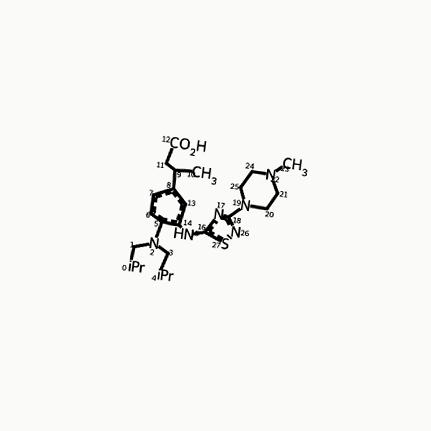 CC(C)CN(CC(C)C)c1ccc(C(C)CC(=O)O)cc1Nc1nc(N2CCN(C)CC2)ns1